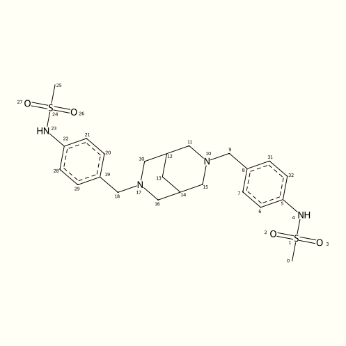 CS(=O)(=O)Nc1ccc(CN2CC3CC(C2)CN(Cc2ccc(NS(C)(=O)=O)cc2)C3)cc1